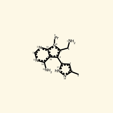 Cc1cc(-c2c(CN)n(C(C)C)c3ncnc(N)c23)[nH]n1